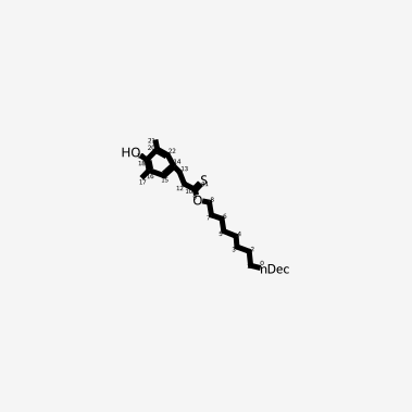 CCCCCCCCCCCCCCCCCCOC(=S)CCc1cc(C)c(O)c(C)c1